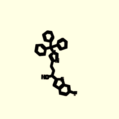 OC(CCc1cn(C(c2ccccc2)(c2ccccc2)c2ccccc2)cn1)c1cc2ccc(F)cc2s1